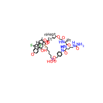 C=CC(CCCCCCC)OCC(=O)NC(C(=O)NC(CCCNC(N)=O)C(=O)Nc1ccc(COP(=O)(O)CCCCCCSC(=O)[C@@]2(OC(=O)CC)[C@H](C)C[C@H]3[C@@H]4C[C@H](F)C5=CC(=O)C=C[C@]5(C)[C@@]4(F)[C@@H](O)C[C@@]32C)cc1)C(C)C